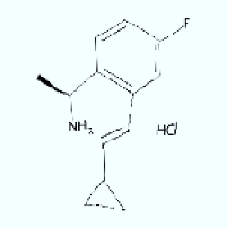 C[C@H](N)c1ccc(F)cc1/C=C/C1CC1.Cl